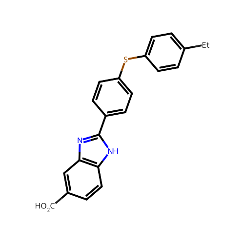 CCc1ccc(Sc2ccc(-c3nc4cc(C(=O)O)ccc4[nH]3)cc2)cc1